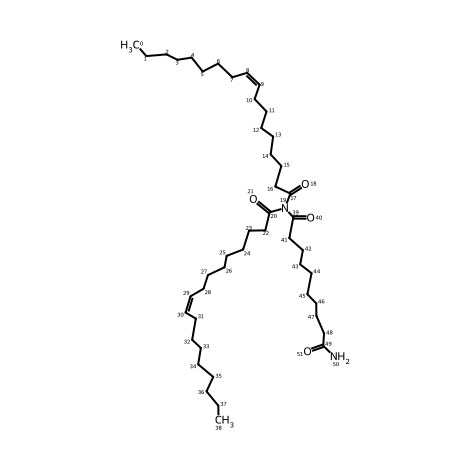 CCCCCCCC/C=C\CCCCCCCC(=O)N(C(=O)CCCCCCC/C=C\CCCCCCCC)C(=O)CCCCCCCCC(N)=O